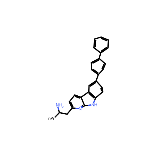 CCCC(N)Cc1ccc2c(n1)[nH]c1ccc(-c3ccc(-c4ccccc4)cc3)cc12